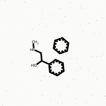 CNCC(O)c1ccccc1.c1ccccc1